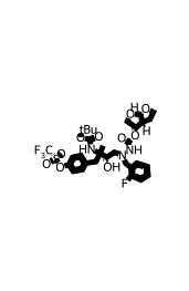 CC(C)(C)OC(=O)NC(C)(Cc1ccc(OS(=O)(=O)C(F)(F)F)cc1)[C@@H](O)CN(Cc1ccccc1F)NC(=O)O[C@H]1CO[C@H]2OCC[C@H]21